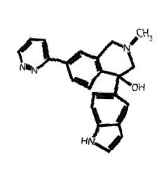 CN1Cc2cc(-c3cccnn3)ccc2C(O)(c2ccc3[nH]ccc3c2)C1